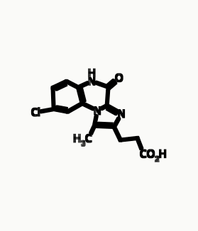 Cc1c(CCC(=O)O)nc2c(=O)[nH]c3ccc(Cl)cc3n12